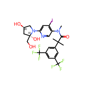 CN(C(=O)C(C)(C)c1cc(C(F)(F)F)cc(C(F)(F)F)c1)c1cnc(N2C[C@H](O)C[C@]2(O)CO)cc1I